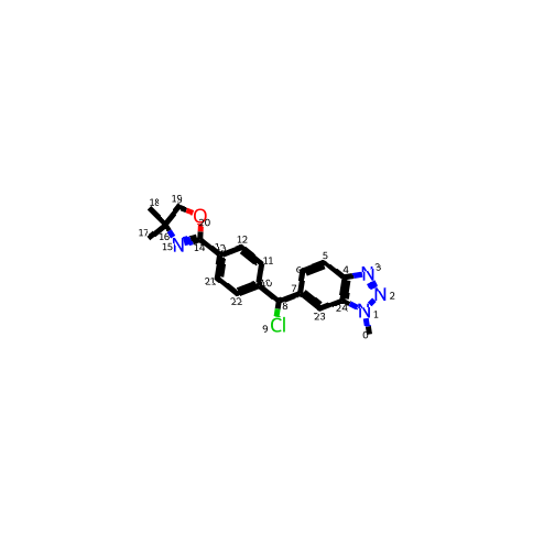 Cn1nnc2ccc(C(Cl)c3ccc(C4=NC(C)(C)CO4)cc3)cc21